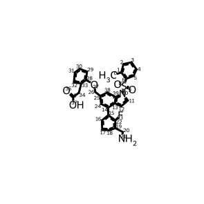 Cc1ccccc1S(=O)(=O)n1ccc2c(-c3cccc(CN)c3F)cc(COc3ccccc3CC(=O)O)cc21